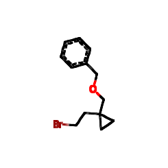 BrCCC1(COCc2ccccc2)CC1